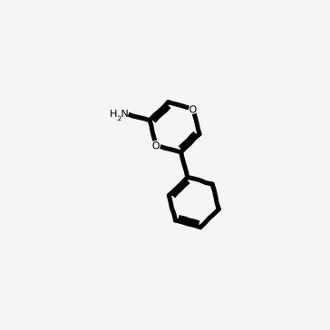 NC1=COC=C(C2=CC=CCC2)O1